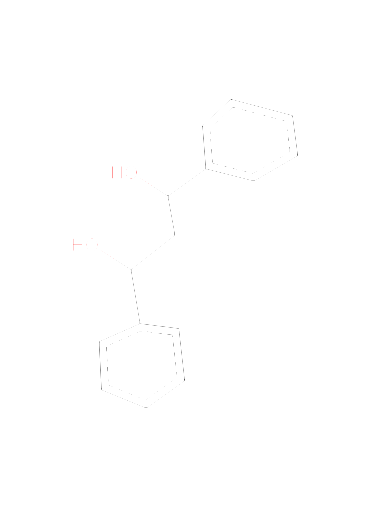 OC(CC(O)c1ccccc1)c1cc[c]cc1